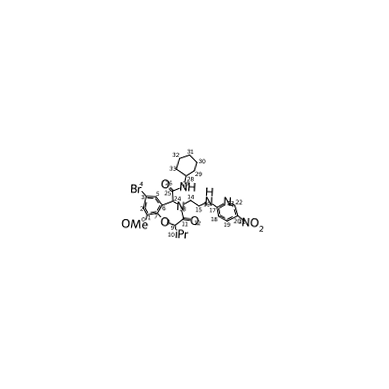 COc1cc(Br)cc2c1OC(C(C)C)C(=O)N(CCNc1ccc([N+](=O)[O-])cn1)C2C(=O)NC1CCCCC1